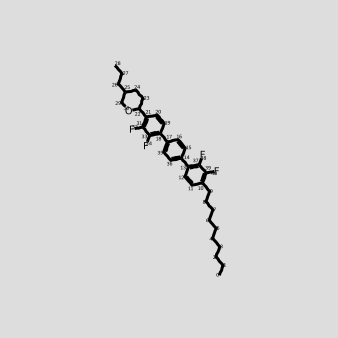 CCCCCCCCCCc1ccc(-c2ccc(-c3ccc(C4CCC(CCC)CO4)c(F)c3F)cc2)c(F)c1F